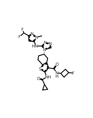 Cn1nc(C(F)F)cc1Nc1nncn1[C@H]1CCc2sc(NC(=O)C3CC3)c(C(=O)NC3CC(F)C3)c2C1